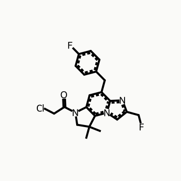 CC1(C)CN(C(=O)CCl)c2cc(Cc3ccc(F)cc3)c3nc(CF)cn3c21